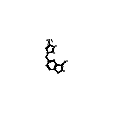 Cc1cn(Cc2ccc3c(c2)C(=O)CC3)cn1